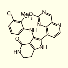 COc1ncc2nccc(-c3[nH]c4c(c3Nc3cccc(Cl)c3C(F)(F)F)C(=O)NCC4)c2n1